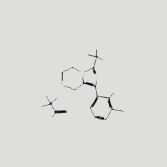 FC(F)(F)c1nc(-c2cccc(Cl)c2Cl)c2n1CCNC2.O=C(O)C(F)(F)F